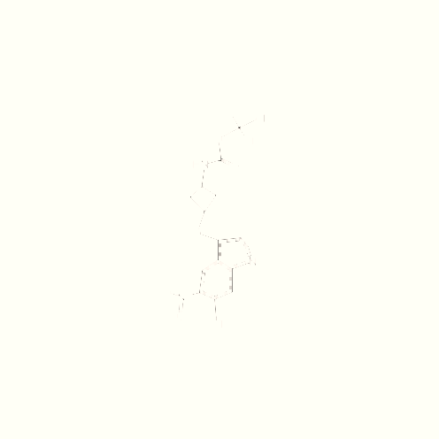 Cc1cc2nccc(OC3CC(NC(=O)OC(C)(C)C)C3)c2cc1[N+](=O)[O-]